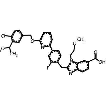 COCCn1c(Cc2ccc(-c3cccc(OCc4ccc(Cl)c(C(C)C)c4)n3)cc2F)nc2ccc(C(=O)O)cc21